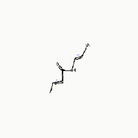 C/C=C/C(=O)N/C=C/C(C)C